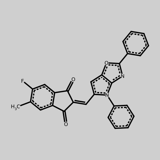 Cc1cc2c(cc1F)C(=O)/C(=C\c1cc3oc(-c4ccccc4)nc3n1-c1ccccc1)C2=O